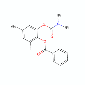 Cc1cc(C(C)(C)C)cc(OC(=O)N(C(C)C)C(C)C)c1OC(=O)c1ccccc1